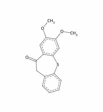 COc1cc2c(cc1OC)C(=O)Cc1ccccc1S2